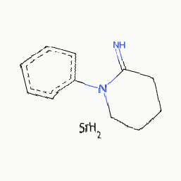 N=C1CCCCN1c1ccccc1.[SrH2]